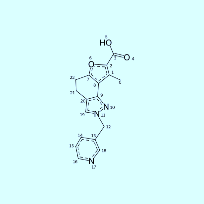 Cc1c(C(=O)O)oc2c1-c1nn(Cc3cccnc3)cc1CC2